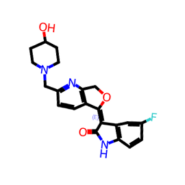 O=C1Nc2ccc(F)cc2/C1=C1\OCc2nc(CN3CCC(O)CC3)ccc21